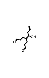 C=CCC(O)[C](CCC=O)CCC=O